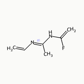 C=C/N=C(\C)NC(=C)F